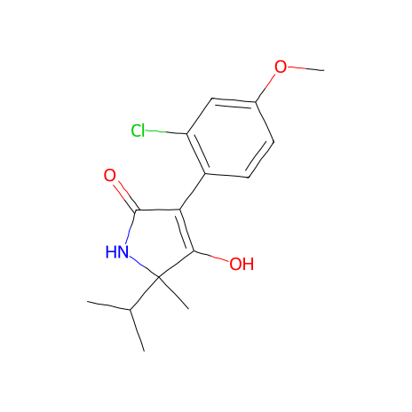 COc1ccc(C2=C(O)C(C)(C(C)C)NC2=O)c(Cl)c1